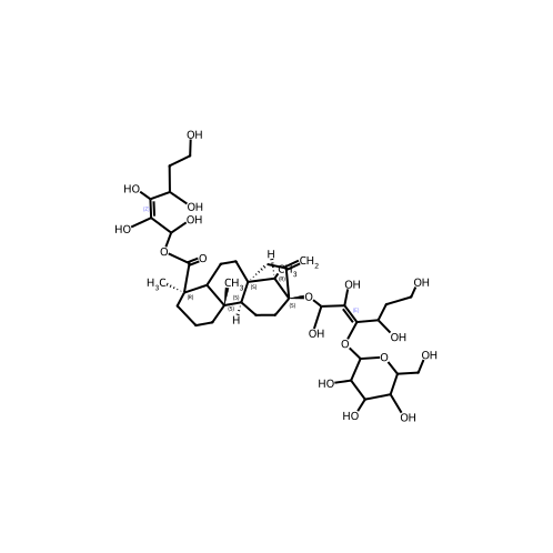 C=C1C[C@@]23CCC4[C@](C)(C(=O)OC(O)/C(O)=C(/O)C(O)CCO)CCC[C@@]4(C)[C@@H]2CC[C@]1(OC(O)/C(O)=C(\OC1OC(CO)C(O)C(O)C1O)C(O)CCO)[C@@H]3C